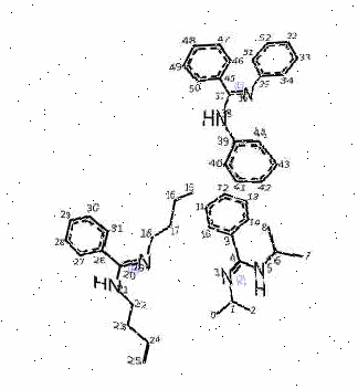 CC(C)/N=C(\NC(C)C)c1ccccc1.CCCC/N=C(/NCCCC)c1ccccc1.c1ccc(/N=C(/Nc2ccccc2)c2ccccc2)cc1